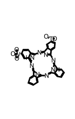 [O]=[Ti]=[O].[O]=[W](=[O])(=[O])[c]1ccc2c3nc4nc(nc5[nH]c(nc6nc(nc([nH]3)c2c1)-c1ccccc1-6)c1ccccc51)-c1ccccc1-4